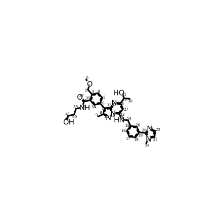 COCc1ccc(-c2c(C)nn3c(NCc4cccc(-c5nccn5C)c4)cc(C(C)O)nc23)cc1C(=O)NCCCO